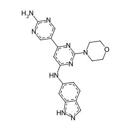 Nc1ncc(-c2cc(Nc3ccc4cn[nH]c4c3)nc(N3CCOCC3)n2)cn1